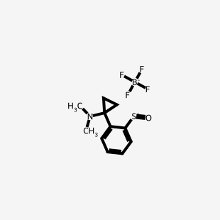 CN(C)C1(c2ccccc2[S+]=O)CC1.F[B-](F)(F)F